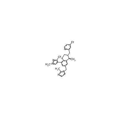 C=C1c2cc(Cn3ccnc3C)cc(-c3cn(C)nc3C(F)(F)F)c2CCC1Cc1cc(CC)ccn1